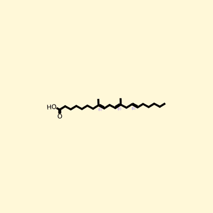 CCCCC/C=C/C/C(C)=C/C/C=C(\C)CCCCCCC(=O)O